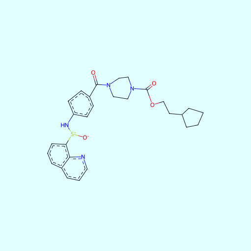 O=C(OCCC1CCCC1)N1CCN(C(=O)c2ccc(N[S+]([O-])c3cccc4cccnc34)cc2)CC1